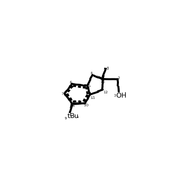 CC1(CO)Cc2ccc(C(C)(C)C)cc2C1